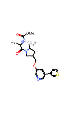 COC(=O)NC(C(=O)N1CC(COc2cncc(-c3ccsc3)c2)CC1C(=O)O)C(C)(C)C